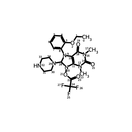 CCOc1ccccc1N1c2c(n(C)c(=O)n(C)c2=O)N(OC(=O)C(F)(F)F)C1N1CCNCC1